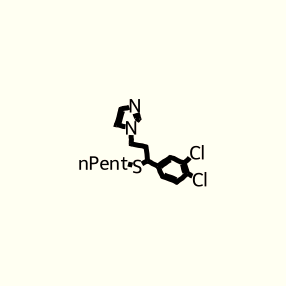 CCCCCSC(CCn1ccnc1)c1ccc(Cl)c(Cl)c1